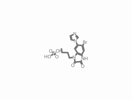 CCCCn1c(=O)c(=O)[nH]c2cc(Br)c(-n3ccnc3)cc21.O=S(=O)(O)O